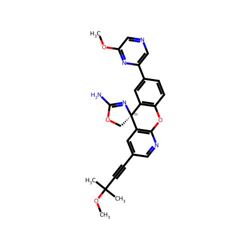 COc1cncc(-c2ccc3c(c2)[C@@]2(COC(N)=N2)c2cc(C#CC(C)(C)OC)cnc2O3)n1